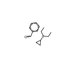 CCB(CC)C1CC1.O=Cc1ccccc1